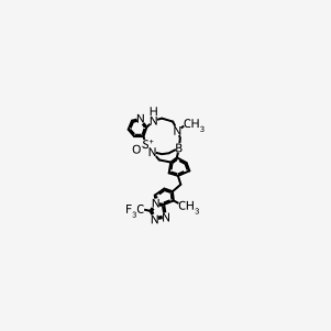 Cc1c(Cc2ccc3c(c2)CN2CCB3CN(C)CCNc3ncccc3[S+]2[O-])ccn2c(C(F)(F)F)nnc12